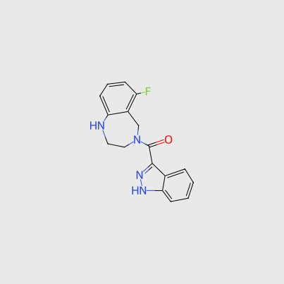 O=C(c1n[nH]c2ccccc12)N1CCNc2cccc(F)c2C1